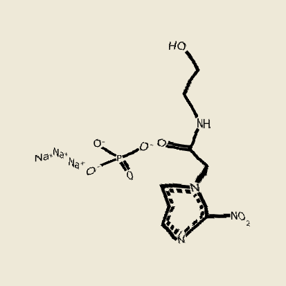 O=C(Cn1ccnc1[N+](=O)[O-])NCCO.O=P([O-])([O-])[O-].[Na+].[Na+].[Na+]